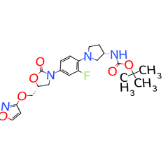 CC(C)(C)OC(=O)N[C@H]1CCN(c2ccc(N3C[C@H](COc4ccon4)OC3=O)cc2F)C1